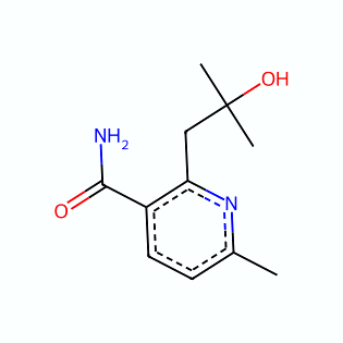 Cc1ccc(C(N)=O)c(CC(C)(C)O)n1